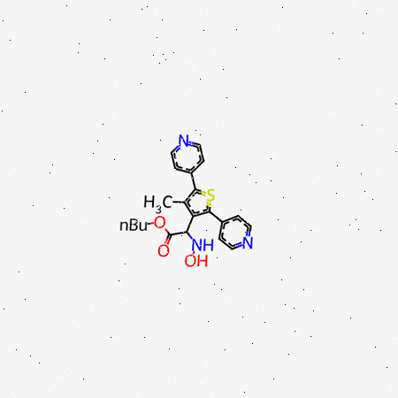 CCCCOC(=O)C(NO)c1c(-c2ccncc2)sc(-c2ccncc2)c1C